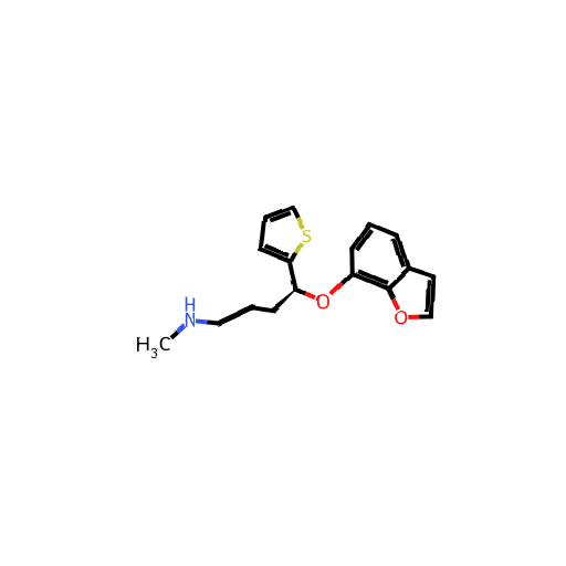 CNCCC[C@H](Oc1cccc2ccoc12)c1cccs1